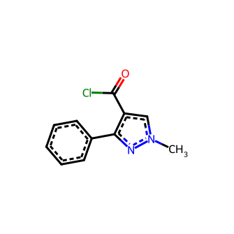 Cn1cc(C(=O)Cl)c(-c2ccccc2)n1